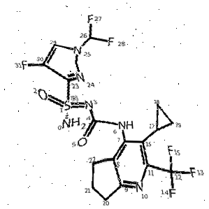 N[S@@](=O)(=NC(=O)Nc1c2c(nc(C(F)(F)F)c1C1CC1)CCC2)c1nn(C(F)F)cc1F